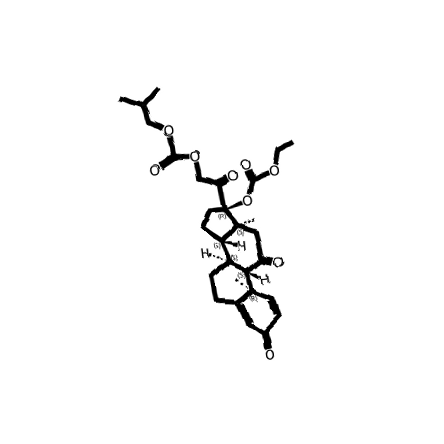 CCOC(=O)O[C@]1(C(=O)COC(=O)OCC(C)C)CC[C@H]2[C@@H]3CCC4=CC(=O)C=C[C@]4(C)[C@H]3C(=O)C[C@@]21C